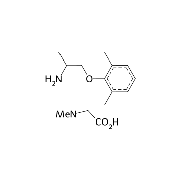 CNCC(=O)O.Cc1cccc(C)c1OCC(C)N